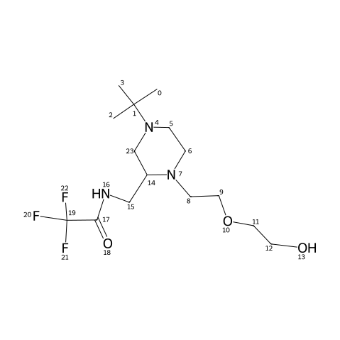 CC(C)(C)N1CCN(CCOCCO)C(CNC(=O)C(F)(F)F)C1